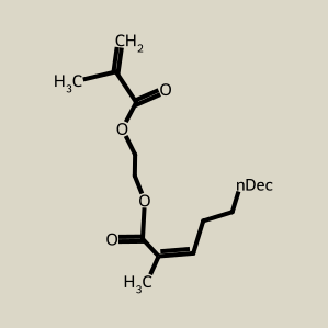 C=C(C)C(=O)OCCOC(=O)C(C)=CCCCCCCCCCCCC